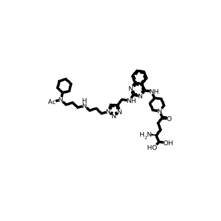 CC(=O)N(CCCNCCCn1cc(CNc2nc(NC3CCN(C(=O)CC[C@H](N)C(O)O)CC3)c3ccccc3n2)nn1)C1CCCCC1